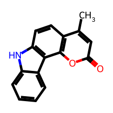 Cc1cc(=O)oc2c1ccc1[nH]c3ccccc3c12